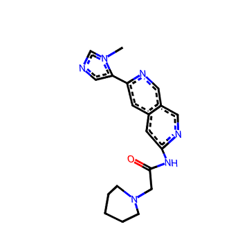 Cn1cncc1-c1cc2cc(NC(=O)CN3CCCCC3)ncc2cn1